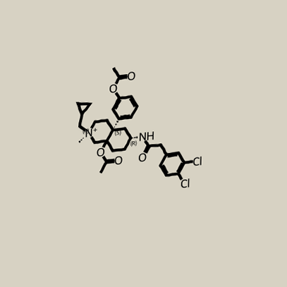 CC(=O)Oc1cccc([C@@]23CC[N@+](C)(CC4CC4)CC2(OC(C)=O)CC[C@@H](NC(=O)Cc2ccc(Cl)c(Cl)c2)C3)c1